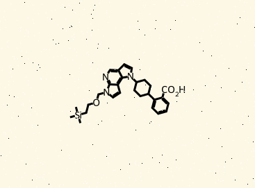 C[Si](C)(C)CCOCn1ccc2c1ncc1ccn(C3CCC(c4ccccc4C(=O)O)CC3)c12